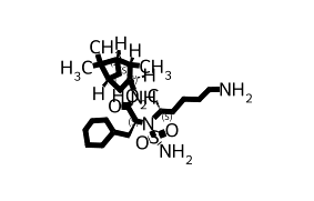 C[C@@H]1[C@@H](NC(=O)[C@H](CC2CCCCC2)N([C@@H](CCCCN)C(=O)O)S(N)(=O)=O)C[C@H]2C[C@@H]1C2(C)C